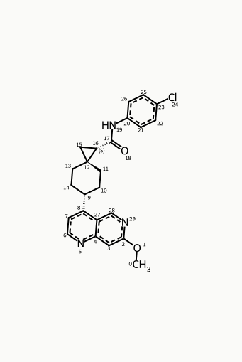 COc1cc2nccc([C@H]3CC[C@@]4(CC3)C[C@@H]4C(=O)Nc3ccc(Cl)cc3)c2cn1